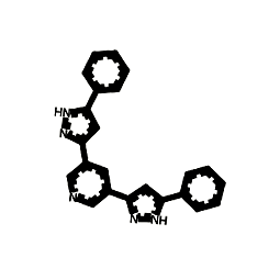 c1ccc(-c2cc(-c3cncc(-c4cc(-c5ccccc5)[nH]n4)c3)n[nH]2)cc1